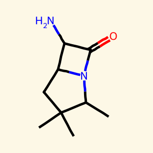 CC1N2C(=O)C(N)C2CC1(C)C